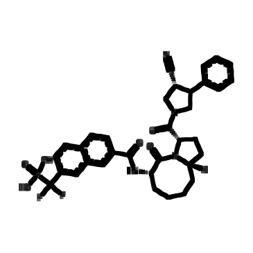 N#C[C@H]1CN(C(=O)[C@@H]2CC[C@@H]3CCCC[C@H](NC(=O)c4ccc5ccc(C(F)(F)P(=O)(O)O)cc5c4)C(=O)N32)CC1c1ccccc1